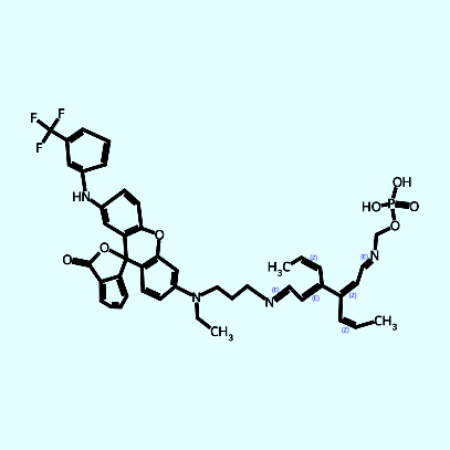 C\C=C/C(=C/C=N/COP(=O)(O)O)C(/C=C\C)=C/C=N/CCCN(CC)c1ccc2c(c1)Oc1ccc(Nc3cccc(C(F)(F)F)c3)cc1C21OC(=O)c2ccccc21